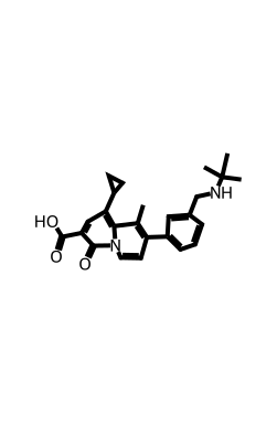 Cc1c(-c2cccc(CNC(C)(C)C)c2)ccn2c(=O)c(C(=O)O)cc(C3CC3)c12